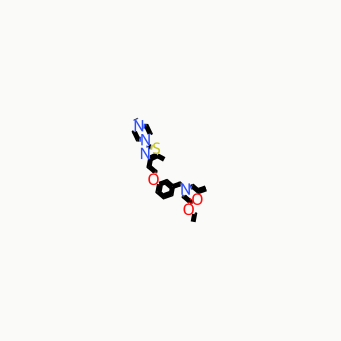 C=CCN(CC(=O)OCC)Cc1cccc(OCCc2nc(N3CCN(C)CC3)sc2C)c1